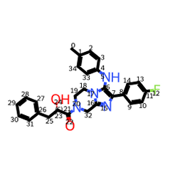 Cc1ccc(Nc2c(-c3ccc(F)cc3)nc3n2CCN(C(=O)[C@@H](O)Cc2ccccc2)C3)cc1